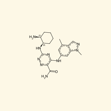 Cc1cc(Nc2nc(N[C@@H]3CCCC[C@@H]3N)nnc2C(N)=O)cc2c1cnn2C